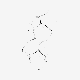 CCC1=CC[C@H]2[C@@H]3CCC4=CCC=C[C@]4(C)C3=CC[C@]12C